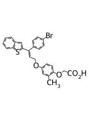 Cc1cc(OC/C=C(\c2ccc(Br)cc2)c2cc3ccccc3s2)ccc1OCC(=O)O